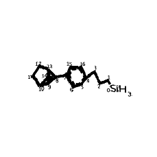 [SiH3]CCCc1ccc(C2=CC3CCC2C3)cc1